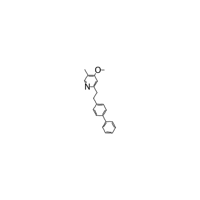 COc1cc(CCc2ccc(-c3ccccc3)cc2)ncc1C